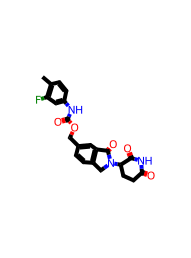 Cc1ccc(NC(=O)OCc2ccc3c(c2)C(=O)N(C2CCC(=O)NC2=O)C3)cc1F